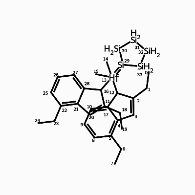 CCC1=Cc2c(CC)cccc2[CH]1[Hf]([CH3])([CH3])([CH]1C(CC)=Cc2c(CC)cccc21)=[Si]1[SiH2][SiH2][SiH2][SiH2]1